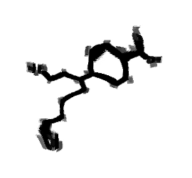 CCCCCC(CCC)c1ccc(C(=O)O)cc1